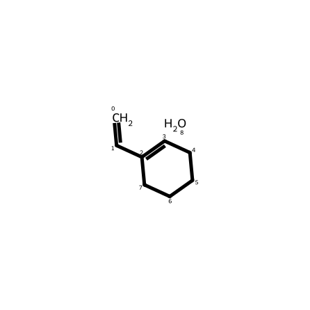 C=CC1=CCCCC1.O